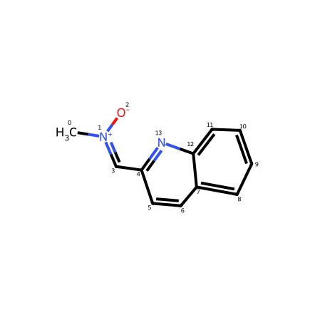 C[N+]([O-])=Cc1ccc2ccccc2n1